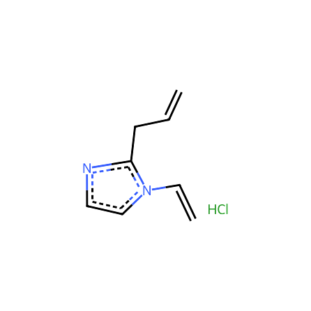 C=CCc1nccn1C=C.Cl